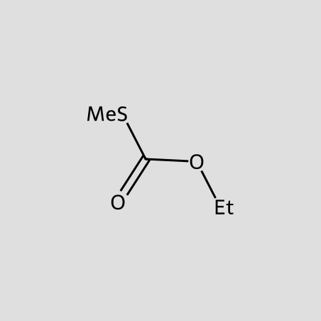 [CH2]SC(=O)OCC